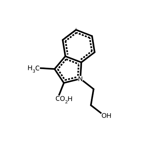 Cc1c(C(=O)O)n(CCO)c2cc[c]cc12